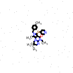 CCN1C(=O)c2c(c(C)n(Cc3ccc(C)cc3)c2Sc2ccncc2)N2CC(C)(C)CN=C12